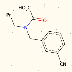 CC(C)CN(Cc1cccc(C#N)c1)C(=O)C(=O)O